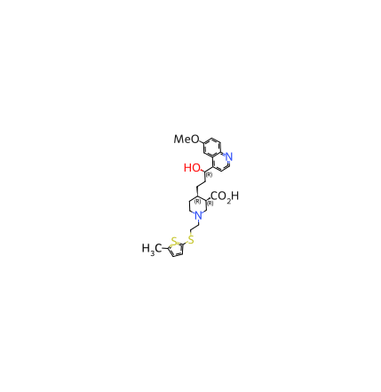 COc1ccc2nccc([C@H](O)CC[C@@H]3CCN(CCSc4ccc(C)s4)C[C@@H]3C(=O)O)c2c1